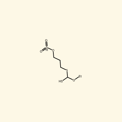 CCOC(S)SCCCO[SH](=O)=O